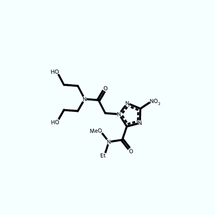 CCN(OC)C(=O)c1nc([N+](=O)[O-])nn1CC(=O)N(CCO)CCO